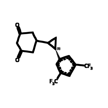 O=C1CC(=O)CC(C2C[C@@H]2c2cc(C(F)(F)F)cc(C(F)(F)F)c2)C1